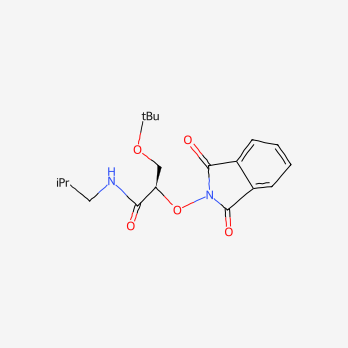 CC(C)CNC(=O)[C@@H](COC(C)(C)C)ON1C(=O)c2ccccc2C1=O